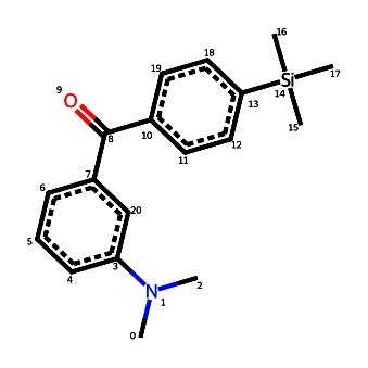 CN(C)c1cccc(C(=O)c2ccc([Si](C)(C)C)cc2)c1